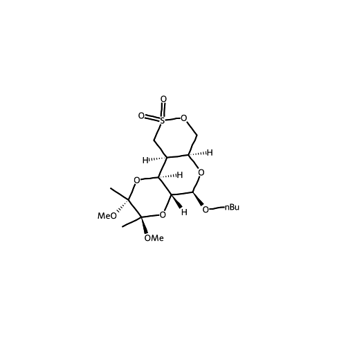 CCCCO[C@@H]1O[C@@H]2COS(=O)(=O)C[C@@H]2[C@@H]2O[C@@](C)(OC)[C@](C)(OC)O[C@@H]12